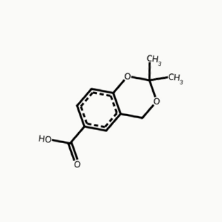 CC1(C)OCc2cc(C(=O)O)ccc2O1